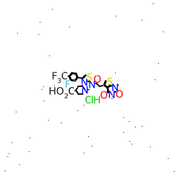 CN1CCC(C(=O)O)CC1n1c(-c2ccc(C(F)(F)F)c(F)c2)csc1=NC(=O)Cc1csc2c1c(=O)n(C)c(=O)n2C.Cl